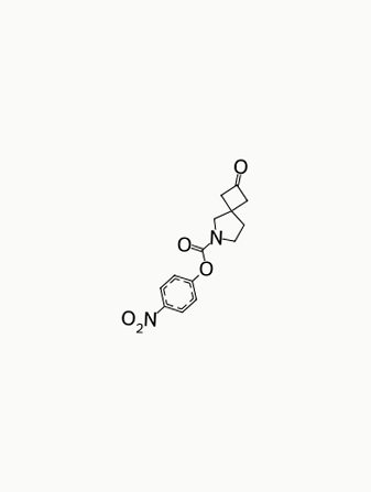 O=C1CC2(CCN(C(=O)Oc3ccc([N+](=O)[O-])cc3)C2)C1